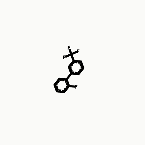 Fc1ccccc1-c1[c]ccc(C(F)(F)F)c1